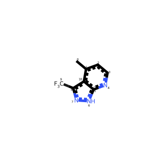 Cc1ccnc2[nH]nc(C(F)(F)F)c12